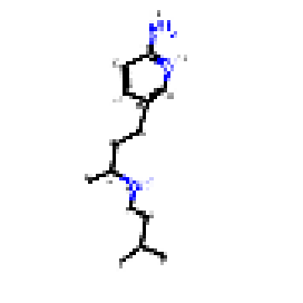 CC(C)CCNC(C)CCc1ccc(N)nc1